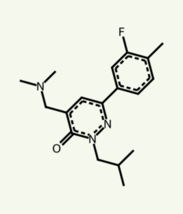 Cc1ccc(-c2cc(CN(C)C)c(=O)n(CC(C)C)n2)cc1F